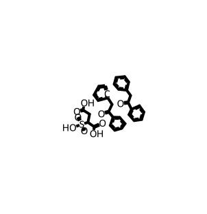 O=C(Cc1ccccc1)c1ccccc1.O=C(Cc1ccccc1)c1ccccc1.O=C(O)CC(C(=O)O)S(=O)(=O)O